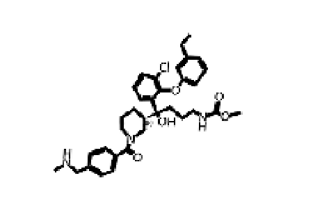 CCc1cccc(Oc2c(Cl)cccc2C(O)(CCCNC(=O)OC)[C@@H]2CCCN(C(=O)c3ccc(CNC)cc3)C2)c1